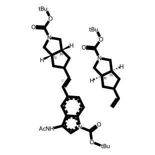 C=CC1C[C@@H]2CN(C(=O)OC(C)(C)C)C[C@@H]2C1.CC(=O)Nc1cn(C(=O)OC(C)(C)C)c2ccc(/C=C/C3C[C@@H]4CN(C(=O)OC(C)(C)C)C[C@@H]4C3)cc12